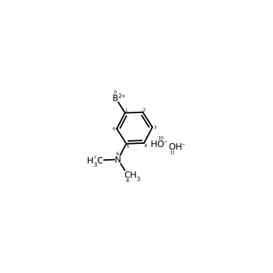 [B+2]c1cccc(N(C)C)c1.[OH-].[OH-]